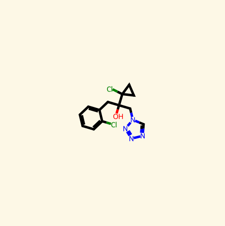 OC(Cc1ccccc1Cl)(Cn1cnnn1)C1(Cl)CC1